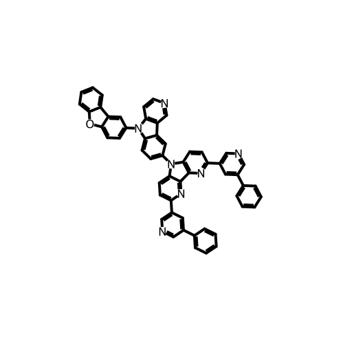 c1ccc(-c2cncc(-c3ccc4c(n3)c3nc(-c5cncc(-c6ccccc6)c5)ccc3n4-c3ccc4c(c3)c3cnccc3n4-c3ccc4oc5ccccc5c4c3)c2)cc1